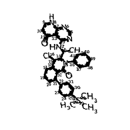 C[C@H](Nc1ncnc2[nH]ccc(=O)c12)c1c(Cl)c2cccc(-c3ccc(S(C)(C)C)cc3)c2c(=O)n1-c1ccccc1